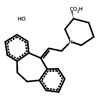 Cl.O=C(O)[C@@H]1CCCN(CC=C2c3ccccc3CCc3ccccc32)C1